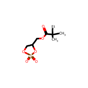 CCC(C)(C)C(=O)OCC1COS(=O)(=O)O1